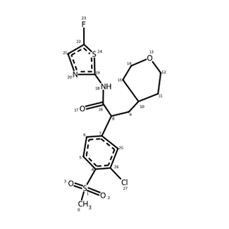 CS(=O)(=O)c1ccc(C(CC2CCOCC2)C(=O)Nc2ncc(F)s2)cc1Cl